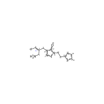 NC/C(=C\F)Cn1ncn(CCc2ccsc2)c1=O